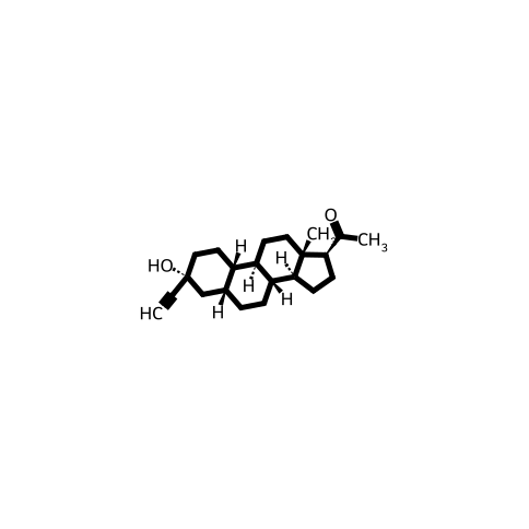 C#C[C@@]1(O)CC[C@H]2[C@H](CC[C@@H]3[C@@H]2CC[C@]2(C)[C@@H](C(C)=O)CC[C@@H]32)C1